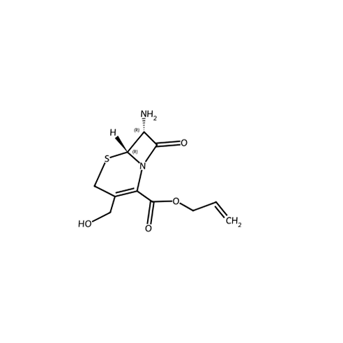 C=CCOC(=O)C1=C(CO)CS[C@@H]2[C@H](N)C(=O)N12